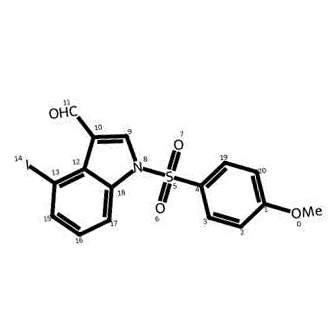 COc1ccc(S(=O)(=O)n2cc(C=O)c3c(I)cccc32)cc1